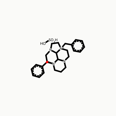 O=S(=O)(O)O.c1ccc(C[N+]23CCCN4CC[N+]5(Cc6ccccc6)CCN(CC2)C5C43)cc1